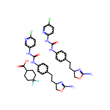 NC1=NC(CCc2ccc(NC(=O)Nc3ccc(Cl)cn3)cc2)CO1.NC1=NC(CCc2ccc(NC(=O)Nc3ccc(Cl)nc3)cc2)CO1.O=C(O)C1CCC(F)(F)CC1